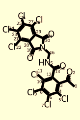 CC(=O)c1c(Cl)c(Cl)c(Cl)c(Cl)c1C(=O)NCN1C(=O)c2c(Cl)c(Cl)c(Cl)c(Cl)c2C1=O